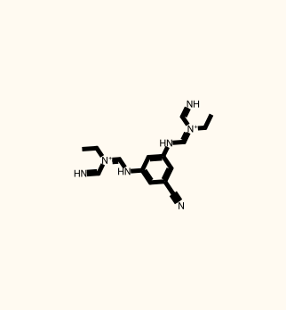 CC/[N+](C=N)=C/Nc1cc(C#N)cc(N/C=[N+](\C=N)CC)c1